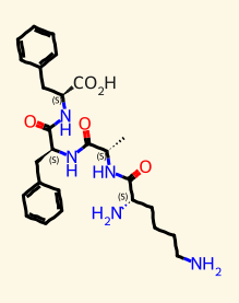 C[C@H](NC(=O)[C@@H](N)CCCCN)C(=O)N[C@@H](Cc1ccccc1)C(=O)N[C@@H](Cc1ccccc1)C(=O)O